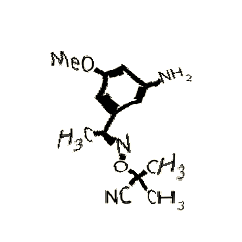 COc1cc(N)cc(C(C)=NOC(C)(C)C#N)c1